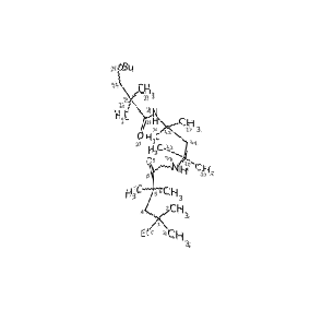 CCC(C)(C)CC(C)(C)C(=O)NC(C)(C)CC(C)(C)NC(=O)C(C)(C)CC(C)(C)C